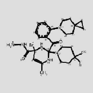 CC1=CC(Br)(C(=O)NN)NC(C(=O)c2ccccc2N2CCC3(CC2)CC3)(N2CCC(F)(F)CC2)N1